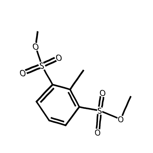 COS(=O)(=O)c1cccc(S(=O)(=O)OC)c1C